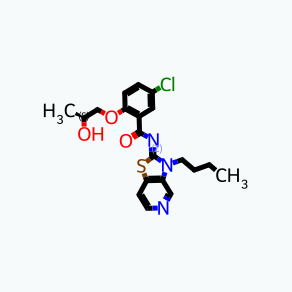 CCCCn1/c(=N/C(=O)c2cc(Cl)ccc2OC[C@H](C)O)sc2ccncc21